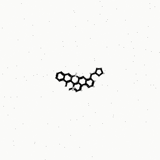 Cc1c2c(cc3ccccc13)Sc1cc3c(CC4CCCC4)cccc3c3cc[n+](C)c-2c13